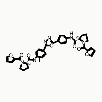 O=C(Nc1ccc(-c2nnc(-c3ccc(NC(=O)[C@@H]4CCCN4C(=O)c4ccco4)cc3)o2)cc1)[C@@H]1CCCN1C(=O)c1ccco1